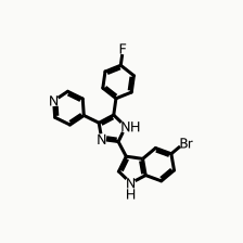 Fc1ccc(-c2[nH]c(-c3c[nH]c4ccc(Br)cc34)nc2-c2ccncc2)cc1